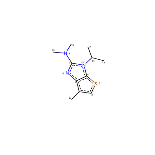 Cc1csc2c1nc(N(C)C)n2C(C)C